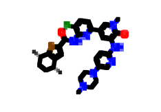 C[C@@H]1CC[C@H](C)c2sc(C(=O)Nc3nc(-c4cc(Nc5ccc(N6CCN(C)CC6)cn5)c(=O)n(C)c4)ccc3F)cc21